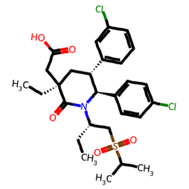 CC[C@@H](CS(=O)(=O)C(C)C)N1C(=O)[C@@](CC)(CC(=O)O)C[C@H](c2cccc(Cl)c2)[C@H]1c1ccc(Cl)cc1